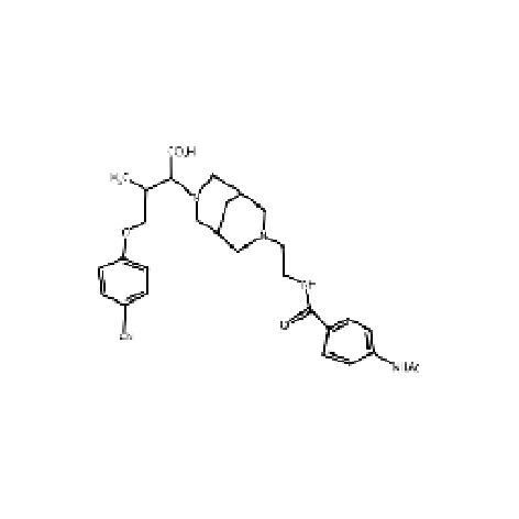 CC(=O)Nc1ccc(C(=O)NCCN2CC3CC(C2)CN(C(C(=O)O)C(C)COc2ccc(C#N)cc2)C3)cc1